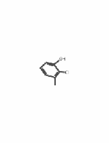 Cc1cccc(O)c1Cl